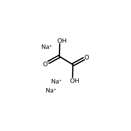 O=C(O)C(=O)O.[Na+].[Na+].[Na+]